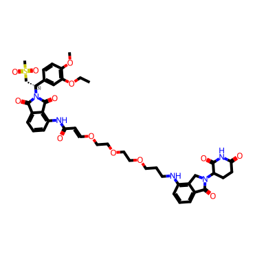 CCOc1cc([C@@H](CS(C)(=O)=O)N2C(=O)c3cccc(NC(=O)C=COCCOCCOCCCNc4cccc5c4CN(C4CCC(=O)NC4=O)C5=O)c3C2=O)ccc1OC